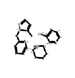 Cc1ccnn1Cc1cccc([C@H]2CCC[C@@H](c3ncccc3Cl)N2)n1